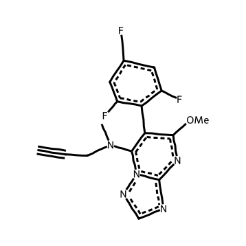 C#CCN(C)c1c(-c2c(F)cc(F)cc2F)c(OC)nc2ncnn12